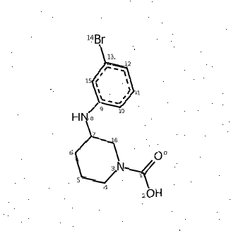 O=C(O)N1CCCC(Nc2cccc(Br)c2)C1